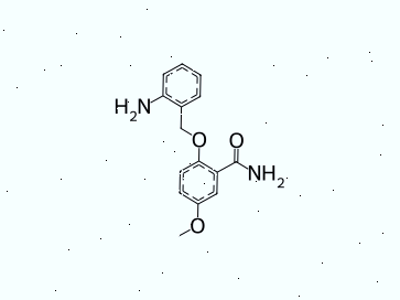 COc1ccc(OCc2ccccc2N)c(C(N)=O)c1